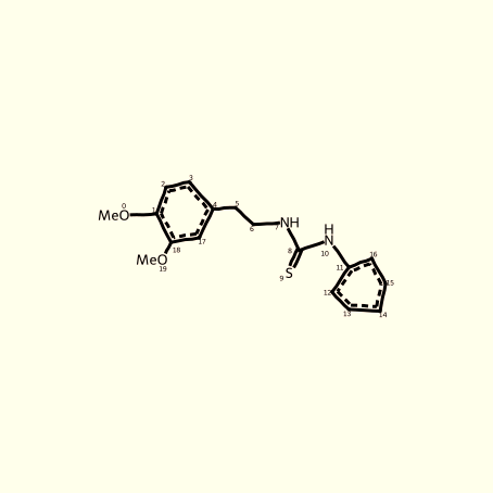 COc1ccc(CCNC(=S)Nc2ccccc2)cc1OC